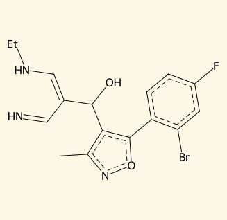 CCN/C=C(\C=N)C(O)c1c(C)noc1-c1ccc(F)cc1Br